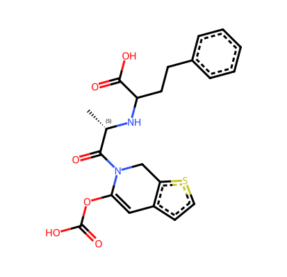 C[C@H](NC(CCc1ccccc1)C(=O)O)C(=O)N1Cc2sccc2C=C1OC(=O)O